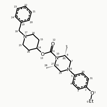 CCOc1ccc(N2C[C@@H](C)N(C(=O)OC3CCN(Cc4ccccc4)CC3)[C@@H](C)C2)cc1